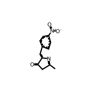 CC1=N/C(=C\c2ccc([N+](=O)[O-])cc2)C(=O)C1